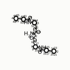 N[C@@H](CC(=O)OCc1cccc(NC(=O)c2ccc(-c3ccccc3)cc2)c1)C(=O)OCc1cccc(NC(=O)c2ccc(-c3ccccc3)cc2)c1